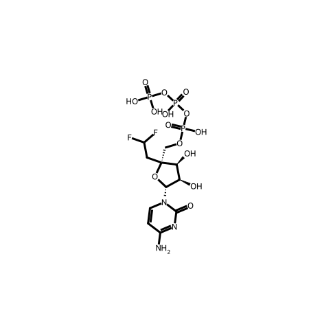 Nc1ccn([C@@H]2O[C@@](COP(=O)(O)OP(=O)(O)OP(=O)(O)O)(CC(F)F)[C@@H](O)[C@H]2O)c(=O)n1